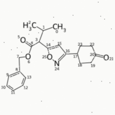 CC(C)C(C(=O)OCc1ccccc1)c1cc(C2CCC(=O)CC2)no1